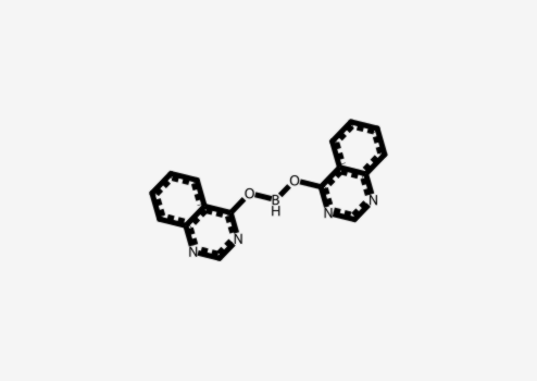 B(Oc1ncnc2ccccc12)Oc1ncnc2ccccc12